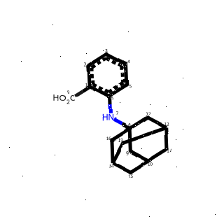 O=C(O)c1ccccc1NC12CC3CC(CC(C3)C1)C2